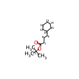 CC(C)(C)OC(=O)CCCC1CCCCC1